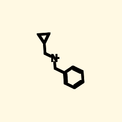 c1ccc(C[N]CC2CC2)cc1